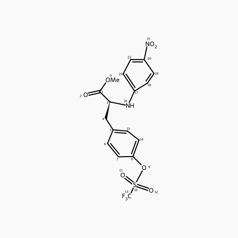 COC(=O)[C@H](Cc1ccc(OS(=O)(=O)C(F)(F)F)cc1)Nc1ccc([N+](=O)[O-])cc1